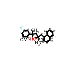 COc1ccc(F)cc1C(C)(C)CC(O)(Cc1c(C)ccc2ccccc12)C(F)(F)F